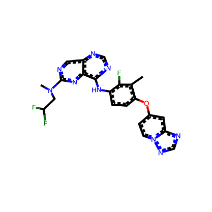 Cc1c(Oc2ccn3ncnc3c2)ccc(Nc2ncnc3cnc(N(C)CC(F)F)nc23)c1F